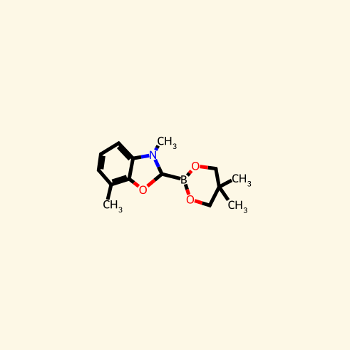 Cc1cccc2c1OC(B1OCC(C)(C)CO1)N2C